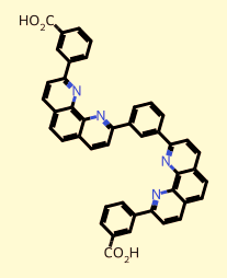 O=C(O)c1cccc(-c2ccc3ccc4ccc(-c5cccc(-c6ccc7ccc8ccc(-c9cccc(C(=O)O)c9)nc8c7n6)c5)nc4c3n2)c1